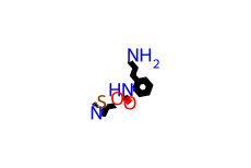 NCCCc1ccccc1NC(=O)OCc1cncs1